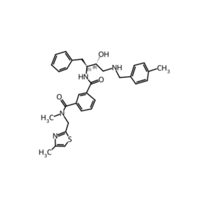 Cc1ccc(CNC[C@@H](O)[C@H](Cc2ccccc2)NC(=O)c2cccc(C(=O)N(C)Cc3nc(C)cs3)c2)cc1